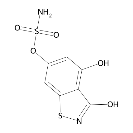 NS(=O)(=O)Oc1cc(O)c2c(O)nsc2c1